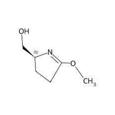 COC1=N[C@H](CO)CC1